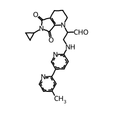 Cc1ccnc(-c2ccc(NCC(C=O)N3CCCC4=C3C(=O)N(C3CC3)C4=O)nc2)c1